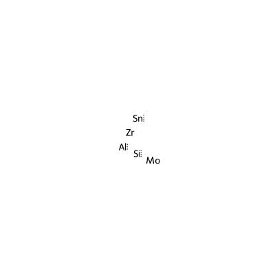 [Al].[Mo].[Si].[Sn].[Zr]